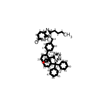 CCCCc1nc2ccc(=O)[nH]c2n1Cc1ccc(-c2ccccc2-c2nnnn2C(c2ccccc2)(c2ccccc2)c2ccccc2)cc1